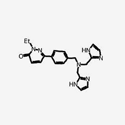 CCn1nc(-c2ccc(CN(Cc3ncc[nH]3)Cc3ncc[nH]3)cc2)ccc1=O